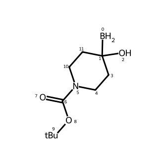 BC1(O)CCN(C(=O)OC(C)(C)C)CC1